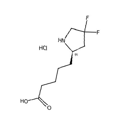 Cl.O=C(O)CCCC[C@@H]1CC(F)(F)CN1